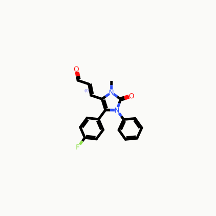 Cn1c(/C=C/C=O)c(-c2ccc(F)cc2)n(-c2ccccc2)c1=O